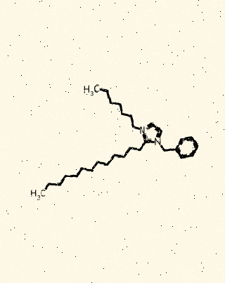 CCCCCCCCCCCCCc1n(Cc2ccccc2)cc[n+]1CCCCCCC